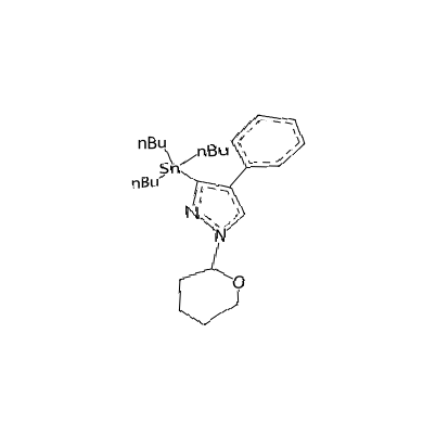 CCC[CH2][Sn]([CH2]CCC)([CH2]CCC)[c]1nn(C2CCCCO2)cc1-c1ccccc1